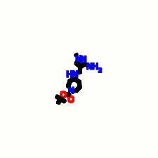 Cn1cc(CNC2CCCN(C(=O)OC(C)(C)C)CC2)c(N)n1